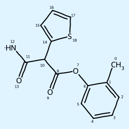 Cc1ccccc1OC(=O)C(C([NH])=O)c1cccs1